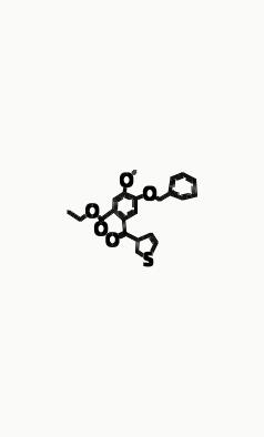 CCOC(=O)c1cc(OC)c(OCc2ccccc2)cc1C(=O)C1C=CSC1